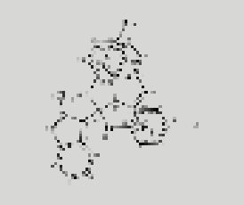 CC1=Cc2ccccc2[CH]1[Zr]([O]c1ccc(F)cc1)([O]c1ccc(F)cc1)[CH]1C(C)=Cc2ccccc21